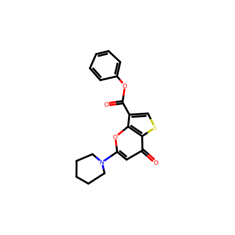 O=C(Oc1ccccc1)c1csc2c(=O)cc(N3CCCCC3)oc12